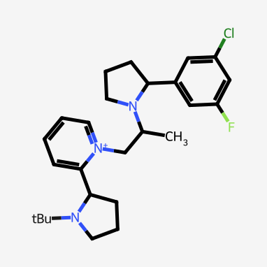 CC(C[n+]1ccccc1C1CCCN1C(C)(C)C)N1CCCC1c1cc(F)cc(Cl)c1